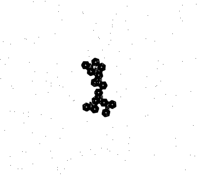 c1ccc(-n2c3ccccc3c3cc4c(cc32)c2c3c5cccc6c7ccccc7n(c3cc3c7ccc(-c8cccc9c8c8cccc%10c%11c%12c%13ccc%14c%15ccccc%15n(-c%15ccccc%15)c%14c%13n%13c%14ccccc%14c(cc%11n9c8%10)c%12%13)cc7n4c32)c65)cc1